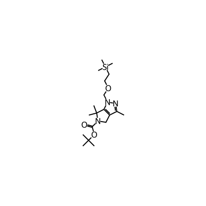 Cc1nn(COCC[Si](C)(C)C)c2c1CN(C(=O)OC(C)(C)C)C2(C)C